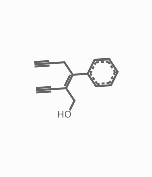 C#CCC(=C(C#C)CO)c1ccccc1